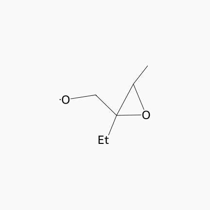 CCC1(C[O])OC1C